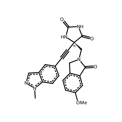 COc1ccc2c(c1)C(=O)N(C[C@@]1(C#Cc3ccc4c(cnn4C)c3)NC(=O)NC1=O)C2